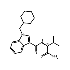 CC(C)[C@H](NC(=O)c1cn(CC2CCCCC2)c2ccccc12)C(N)=O